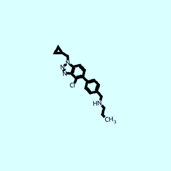 CCCNCc1ccc(-c2ccc3c(nnn3CC3CC3)c2Cl)cc1